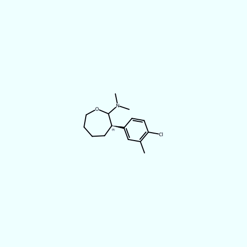 Cc1cc([C@H]2CCCCOC2N(C)C)ccc1Cl